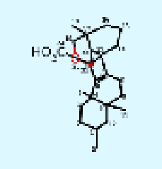 CC1CCC2(C)C3=C(CCC2(C)C1)C12CCCC(C)(COC1)C2C(C(=O)O)C3